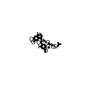 COc1cc(I)c(C(=O)N(CCOCCO[Si](C)(C)CC(C)C)c2ccnc3cc4c(cc23)OCO4)cc1OC